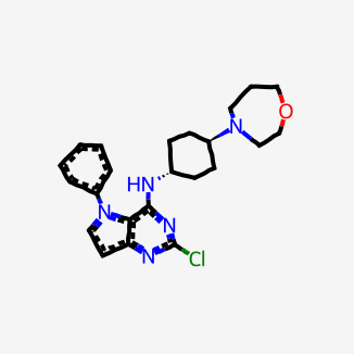 Clc1nc(N[C@H]2CC[C@H](N3CCCOCC3)CC2)c2c(ccn2-c2ccccc2)n1